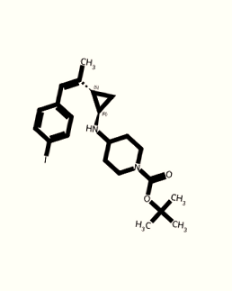 CC(=Cc1ccc(I)cc1)[C@@H]1C[C@H]1NC1CCN(C(=O)OC(C)(C)C)CC1